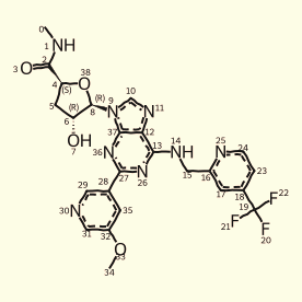 CNC(=O)[C@@H]1C[C@@H](O)[C@H](n2cnc3c(NCc4cc(C(F)(F)F)ccn4)nc(-c4cncc(OC)c4)nc32)O1